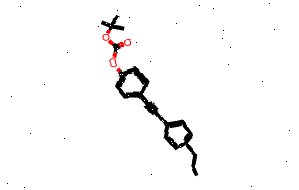 CCCc1ccc(C#Cc2ccc(OC(=O)OC(C)(C)C)cc2)cc1